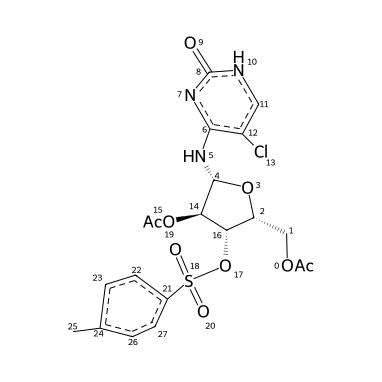 CC(=O)OC[C@H]1O[C@@H](Nc2nc(=O)[nH]cc2Cl)[C@H](OC(C)=O)[C@H]1OS(=O)(=O)c1ccc(C)cc1